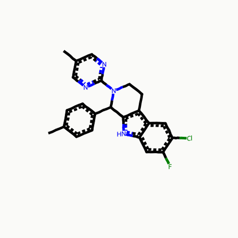 Cc1ccc(C2c3[nH]c4cc(F)c(Cl)cc4c3CCN2c2ncc(C)cn2)cc1